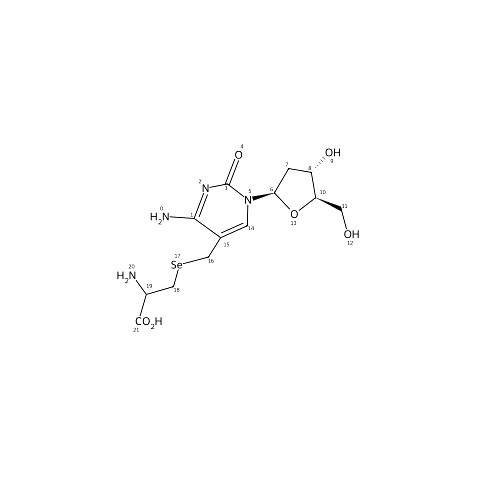 Nc1nc(=O)n([C@H]2C[C@H](O)[C@@H](CO)O2)cc1C[Se]CC(N)C(=O)O